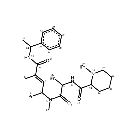 C/C(=C\C(C(C)C)N(C)C(=O)C(NC(=O)C1CCCCN1C(C)C)C(C)C)C(=O)NC(C)c1ccccc1